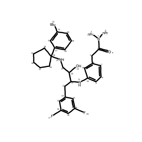 CCCN(CCC)C(=O)Cc1cccc(NC(Cc2cc(F)cc(F)c2)C(O)CNC2(c3cccc(C(C)(C)C)c3)CCCCC2)c1